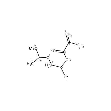 C=C(C)C(=O)OC(CC)[SiH2]OC(C)OC